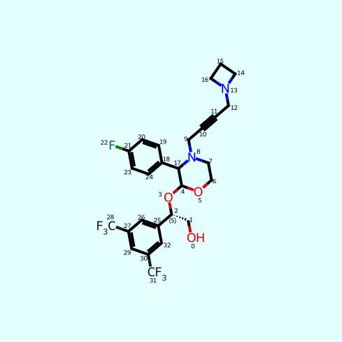 OC[C@@H](OC1OCCN(CC#CCN2CCC2)C1c1ccc(F)cc1)c1cc(C(F)(F)F)cc(C(F)(F)F)c1